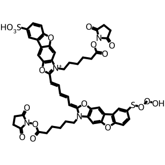 O=C(CCCCCN1/C(=C/C=C/C=C/c2oc3cc4c(cc3[n+]2CCCCCC(=O)ON2C(=O)CCC2=O)oc2ccc(S(=O)(=O)O)cc24)Oc2cc3c(cc21)oc1ccc(SOOO)cc13)ON1C(=O)CCC1=O